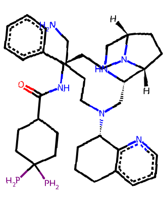 NCCCCN(C[C@@H]1NC[C@@H]2CC[C@H]1N2CC[C@@H](NC(=O)C1CCC(P)(P)CC1)c1ccccc1)[C@H]1CCCc2cccnc21